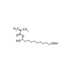 C=C(C)C(=O)OC(O)CCCCCCCCCCCCCCCCCCC